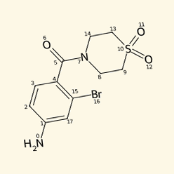 Nc1ccc(C(=O)N2CCS(=O)(=O)CC2)c(Br)c1